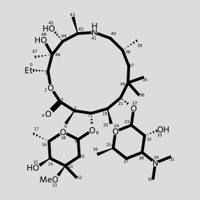 CC[C@H]1OC(=O)[C@H](C)[C@@H](OC2C[C@@](C)(OC)[C@@H](O)[C@H](C)O2)[C@H](C)[C@@H](OC2O[C@H](C)CC(N(C)C)[C@H]2O)C(C)(C)C[C@@H](C)CN[C@H](C)[C@@H](O)[C@]1(C)O